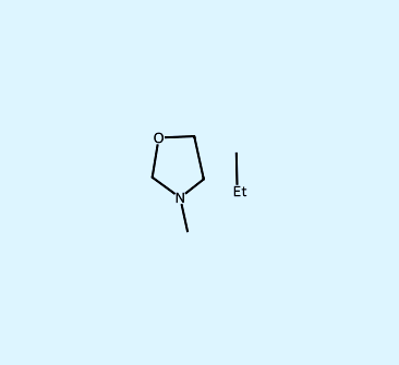 CCC.CN1CCOC1